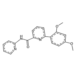 COc1ccc(-c2cccc(C(=O)Nc3ccccn3)n2)c(OC)c1